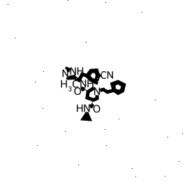 CC(Cc1ccc(C#N)cc1)(NC(=O)[C@H]1C[C@@H](C(=O)NC2CC2)CN(CCc2ccccc2)C1)c1cnc[nH]1